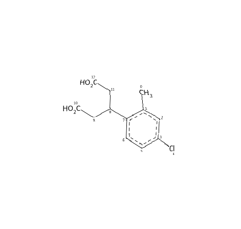 Cc1cc(Cl)ccc1C(CC(=O)O)CC(=O)O